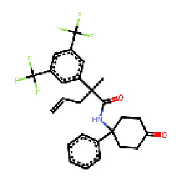 C=CCC(C)(C(=O)NC1(c2ccccc2)CCC(=O)CC1)c1cc(C(F)(F)F)cc(C(F)(F)F)c1